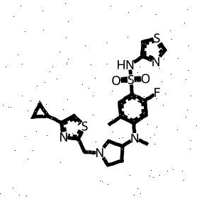 Cc1cc(S(=O)(=O)Nc2cscn2)c(F)cc1N(C)C1CCN(Cc2nc(C3CC3)cs2)C1